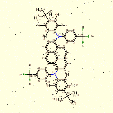 [2H]c1c([2H])c(C(C)(C)C)c([2H])c([2H])c1N(c1ccc(C(F)(F)F)cc1)c1ccc2ccc3c(N(c4ccc(C(F)(F)F)cc4)c4c([2H])c([2H])c(C(C)(C)C)c([2H])c4[2H])ccc4ccc1c2c43